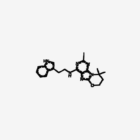 CC1(C)CCOc2nc3c(NCCc4c[nH]c5ccccc45)nc(I)nc3n21